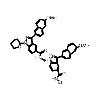 CCNC(=O)c1ccc2[nH]nc(-c3ccc4cc(OC)ccc4c3)c2c1.CCNC(=O)c1ccc2c(c1)c(-c1ccc3cc(OC)ccc3c1)nn2C1CCCCO1